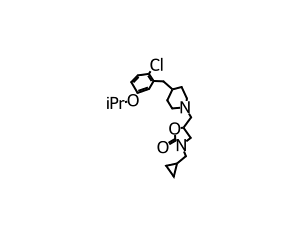 CC(C)Oc1ccc(Cl)c(CC2CCN(CC3CN(CC4CC4)C(=O)O3)CC2)c1